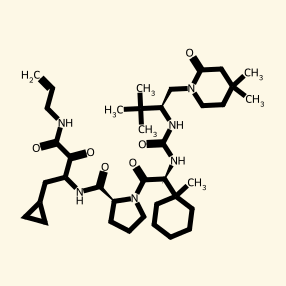 C=CCNC(=O)C(=O)C(CC1CC1)NC(=O)[C@@H]1CCCN1C(=O)[C@@H](NC(=O)N[C@H](CN1CCC(C)(C)CC1=O)C(C)(C)C)C1(C)CCCCC1